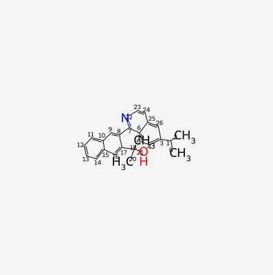 CC(C)c1ccc2c(-c3cc4ccccc4cc3C(C)(C)O)nccc2c1